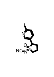 N#CN=S1(=O)CCCC1c1ccc(I)nc1